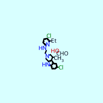 CCc1nc(NCCN2Cc3[nH]c4ccc(Cl)cc4c3C(C)C2)ccc1Cl.O=CO